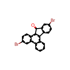 O=C1c2cc(Br)ccc2-c2c1c1ccc(Br)cc1c1ccccc21